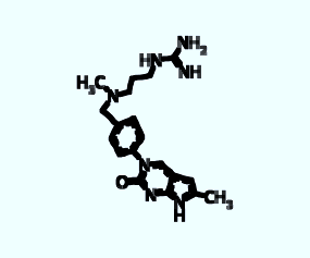 Cc1cc2cn(-c3ccc(CN(C)CCCNC(=N)N)cc3)c(=O)nc2[nH]1